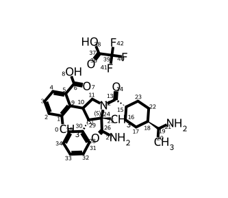 Cc1cccc(C(=O)O)c1C1CN(C(=O)[C@H]2CC[C@H](C(C)N)CC2)[C@](C)(C(N)=O)[C@@H]1c1ccccc1.O=C(O)C(F)(F)F